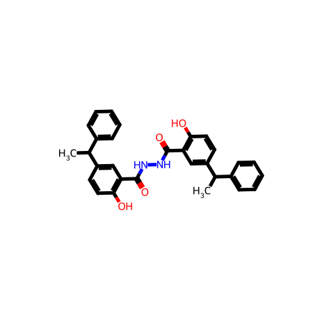 CC(c1ccccc1)c1ccc(O)c(C(=O)NNC(=O)c2cc(C(C)c3ccccc3)ccc2O)c1